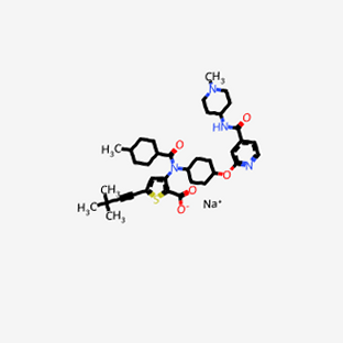 CC1CCC(C(=O)N(c2cc(C#CC(C)(C)C)sc2C(=O)[O-])C2CCC(Oc3cc(C(=O)NC4CCN(C)CC4)ccn3)CC2)CC1.[Na+]